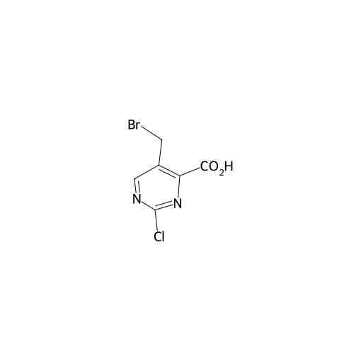 O=C(O)c1nc(Cl)ncc1CBr